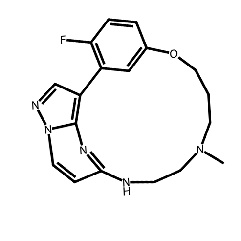 CN1CCCOc2ccc(F)c(c2)-c2cnn3ccc(nc23)NCC1